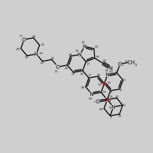 COc1ccc(C(=O)N2C3CC2CN(c2ccc(-c4cc(OCCN5CCOCC5)cn5ncc(C#N)c45)cn2)C3)cn1